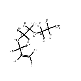 FC(F)=C(F)C(F)(F)OC(F)(F)C(F)(OC(F)(F)C(F)(F)C(F)(F)F)C(F)(F)F